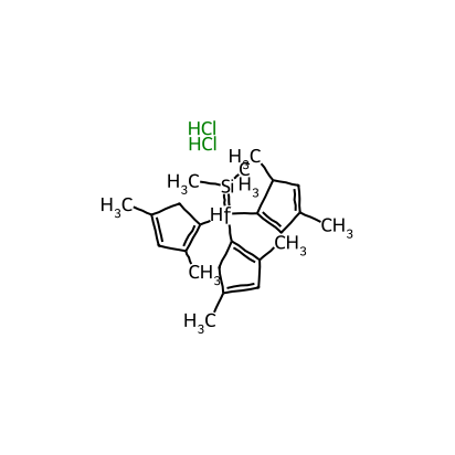 CC1=CC(C)[C]([Hf]([C]2=C(C)C=C(C)C2)([C]2=C(C)C=C(C)C2)=[Si](C)C)=C1.Cl.Cl